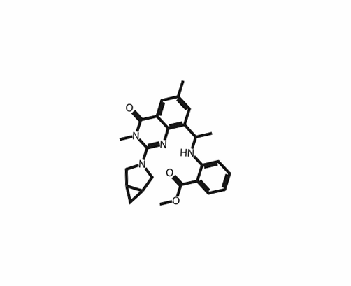 COC(=O)c1ccccc1NC(C)c1cc(C)cc2c(=O)n(C)c(N3CC4CC4C3)nc12